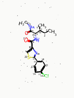 CC[C@H](C)[C@H](NC(=O)c1csc(-c2ccc(Cl)cc2)n1)C(=O)NC